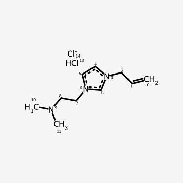 C=CCn1cc[n+](CCN(C)C)c1.Cl.[Cl-]